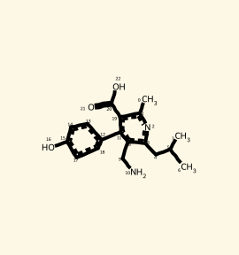 Cc1nc(CC(C)C)c(CN)c(-c2ccc(O)cc2)c1C(=O)O